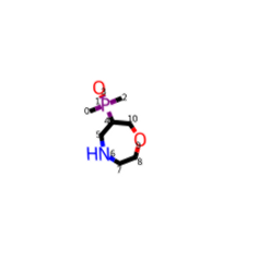 CP(C)(=O)C1CNCCOC1